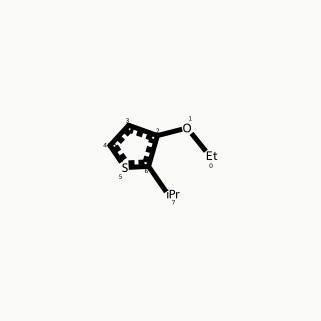 CCOc1ccsc1C(C)C